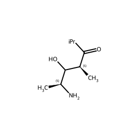 CC(C)C(=O)[C@@H](C)C(O)[C@H](C)N